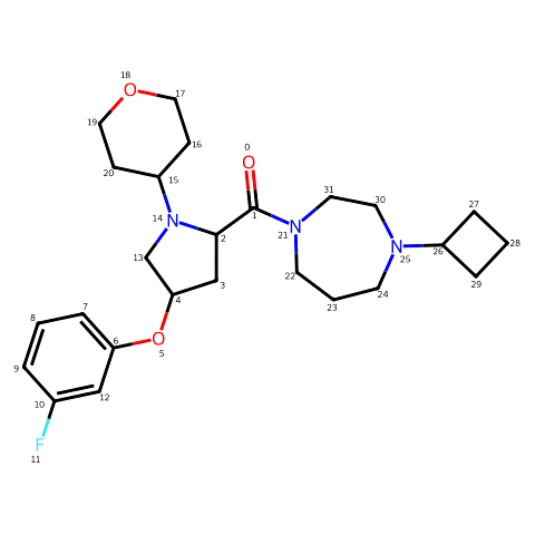 O=C(C1CC(Oc2cccc(F)c2)CN1C1CCOCC1)N1CCCN(C2CCC2)CC1